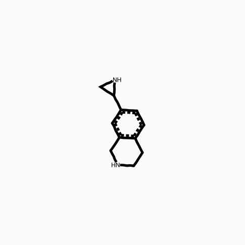 c1cc2c(cc1C1CN1)CNCC2